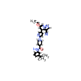 C=C(C)c1cccc(NC(=O)C2CCN(c3ccc(-c4cc(OCC)cn5ncc(C#N)c45)cn3)CC2)c1